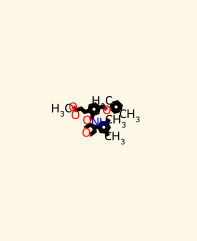 COC(=O)CCc1ccc(COc2cc(C)ccc2C)cc1C(=O)NC1(c2cc(C)cc(C)c2)CCOCC1